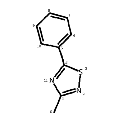 Cc1nsc(-c2ccccc2)n1